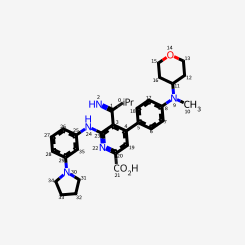 CC(C)C(=N)c1c(-c2ccc(N(C)C3CCOCC3)cc2)cc(C(=O)O)nc1Nc1cccc(N2CCCC2)c1